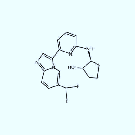 O[C@H]1CCC[C@@H]1Nc1cccc(-c2cnc3ccc(C(F)F)cn23)n1